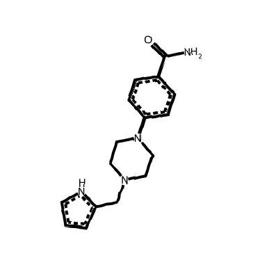 NC(=O)c1ccc(N2CCN(Cc3ccc[nH]3)CC2)cc1